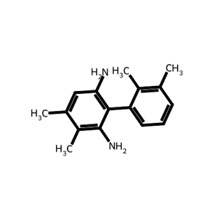 Cc1cccc(-c2c(N)cc(C)c(C)c2N)c1C